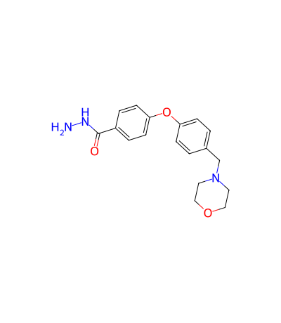 NNC(=O)c1ccc(Oc2ccc(CN3CCOCC3)cc2)cc1